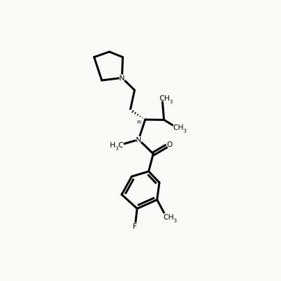 Cc1cc(C(=O)N(C)[C@H](CCN2CCCC2)C(C)C)ccc1F